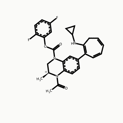 CC(=O)N1c2ccc(C3=C(NC4CC4)CC=CC=C3)cc2N(C(=O)Oc2cc(F)ccc2F)C[C@@H]1C